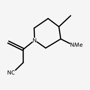 C=C(CC#N)N1CCC(C)C(NC)C1